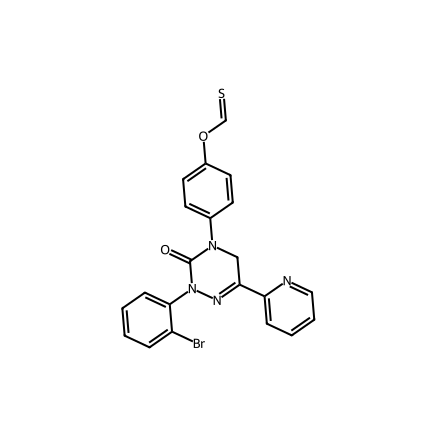 O=C1N(c2ccc(OC=S)cc2)CC(c2ccccn2)=NN1c1ccccc1Br